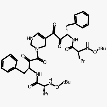 CC(C)[C@H](NOC(C)(C)C)C(=O)N[C@@H](Cc1ccccc1)C(=O)C(=O)C1=CNCN(C(=O)C(=O)[C@H](Cc2ccccc2)NC(=O)[C@@H](NOC(C)(C)C)C(C)C)C1